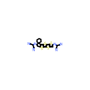 N#CC(C#N)=NC1=Cc2sc3c(sc4c5sc(N=C(C#N)C#N)cc5sc34)c2C12CCCCC2